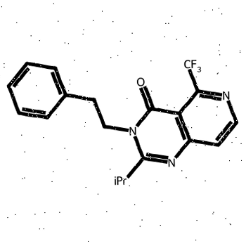 CC(C)c1nc2ccnc(C(F)(F)F)c2c(=O)n1CCc1ccccc1